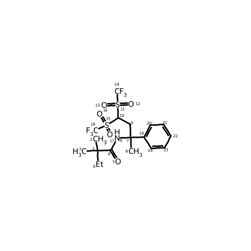 CCC(C)(C)C(=O)NC(C)(CC(S(=O)(=O)C(F)(F)F)S(=O)(=O)C(F)(F)F)c1ccccc1